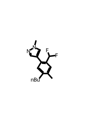 CCCCc1cc(-c2cnn(C)c2)c(C(F)F)cc1C